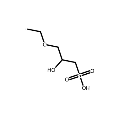 [CH2]COCC(O)CS(=O)(=O)O